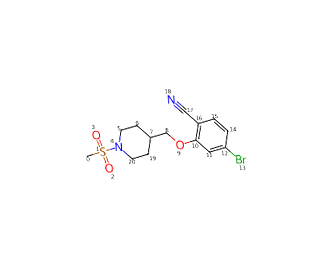 CS(=O)(=O)N1CCC(COc2cc(Br)ccc2C#N)CC1